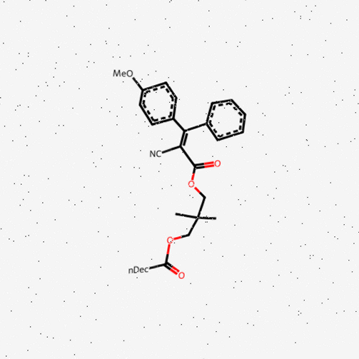 CCCCCCCCCCC(=O)OCC(C)(C)COC(=O)/C(C#N)=C(\c1ccccc1)c1ccc(OC)cc1